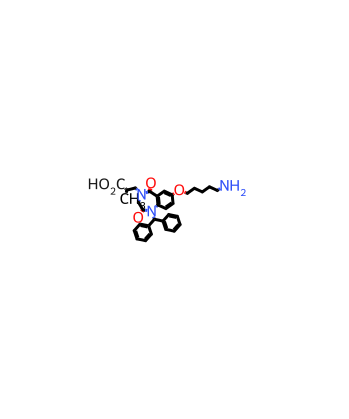 CC(CN1CC(=O)N(C(c2ccccc2)c2ccccc2)c2ccc(OCCCCCN)cc2C1=O)C(=O)O